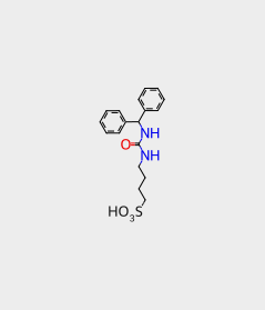 O=C(NCCCCS(=O)(=O)O)NC(c1ccccc1)c1ccccc1